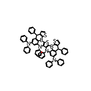 c1ccc(C2c3ccsc3B3c4sc5c(c4N(c4ccccc4)c4cc(N(c6ccccc6)c6ccccc6)cc2c43)N(c2ccccc2)c2cc(N(c3ccccc3)c3ccccc3)cc3c2B5c2sccc2C3c2ccccc2)cc1